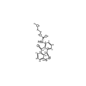 COCCOC(=O)Nc1cccc2c1C(=O)c1cccc3snc-2c13